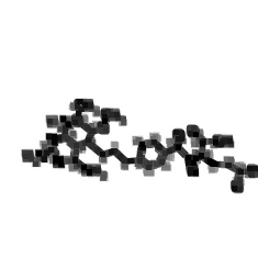 COC(OC)C(CCCc1ccc(C(=O)N[C@H](CCC(=O)O)C(=O)O)cc1)c1c(N)nc(N)nc1N